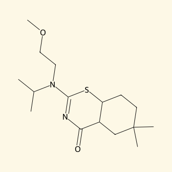 COCCN(C1=NC(=O)C2CC(C)(C)CCC2S1)C(C)C